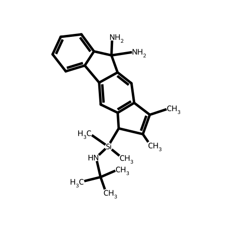 CC1=C(C)C([Si](C)(C)NC(C)(C)C)c2cc3c(cc21)C(N)(N)c1ccccc1-3